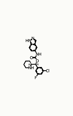 O=C(Nc1ccc2[nH]ncc2c1)O[C@@H](c1cc(F)cc(Cl)c1)[C@@H]1CCCCN1